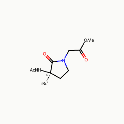 CCC(C)[C@@]1(NC(C)=O)CCN(CC(=O)OC)C1=O